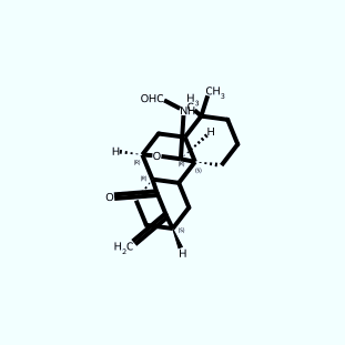 C=C1C(=O)[C@]23CC[C@H]1CC2[C@]12CCCC(C)(C)C1C[C@H]3O[C@H]2NC=O